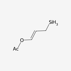 CC(=O)OC=CC[SiH3]